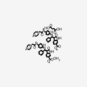 COC(=O)c1ccc2c(c1)NC(=O)/C2=C(\Nc1ccc(N(C)C(=O)CN2CCN(C)CC2)cc1)c1ccccc1.COC(=O)c1ccc2c(c1)NC(=O)/C2=C(\Nc1ccc(N(C)C(=O)CN2CCN(C)CC2)cc1)c1ccccc1.O.O=C(O)CCC(=O)O